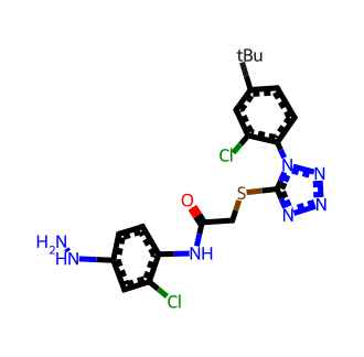 CC(C)(C)c1ccc(-n2nnnc2SCC(=O)Nc2ccc(NN)cc2Cl)c(Cl)c1